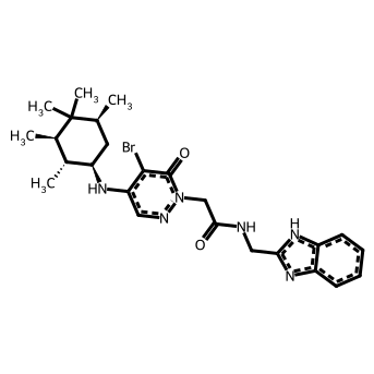 C[C@@H]1[C@@H](C)C(C)(C)[C@@H](C)C[C@H]1Nc1cnn(CC(=O)NCc2nc3ccccc3[nH]2)c(=O)c1Br